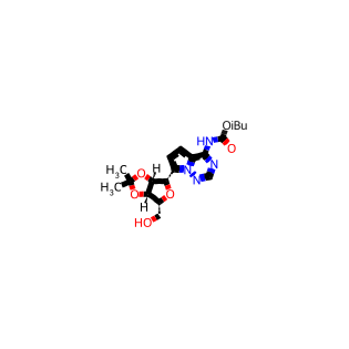 CC(C)COC(=O)Nc1ncnn2c([C@@H]3O[C@H](CO)[C@H]4OC(C)(C)O[C@H]43)ccc12